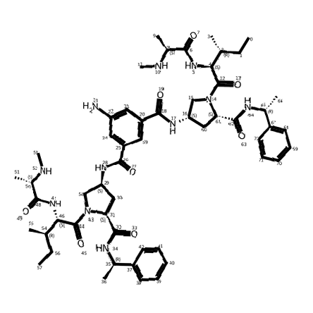 CC[C@@H](C)[C@H](NC(=O)[C@H](C)NC)C(=O)N1C[C@@H](NC(=O)c2cc(N)cc(C(=O)N[C@H]3C[C@@H](C(=O)N[C@H](C)c4ccccc4)N(C(=O)[C@@H](NC(=O)[C@H](C)NC)[C@H](C)CC)C3)c2)C[C@H]1C(=O)N[C@H](C)c1ccccc1